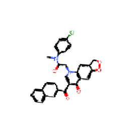 CN(C(=O)Cn1cc(C(=O)c2ccc3ccccc3c2)c(=O)c2cc3c(cc21)COO3)c1ccc(Cl)cc1